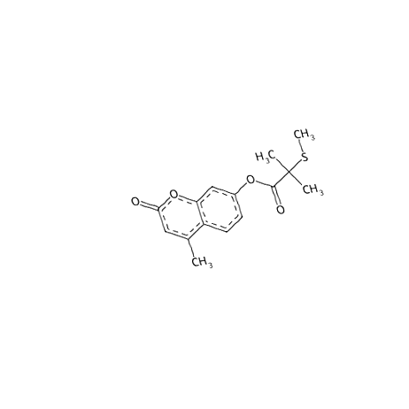 CSC(C)(C)C(=O)Oc1ccc2c(C)cc(=O)oc2c1